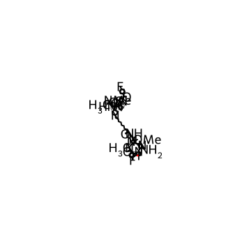 CN[C@H](C)C(=O)N[C@@H](C(=O)N1CCC[C@@H]1C1=NC(C(=O)c2ccc(F)cc2)CS1)C1CCN(CCCCCCCCC(=O)NCCn2nc3c(c2OC)-c2cnc(N)c(c2)N2CCC[C@@H]2c2cc(F)ccc2C(=O)N(C)C3)CC1